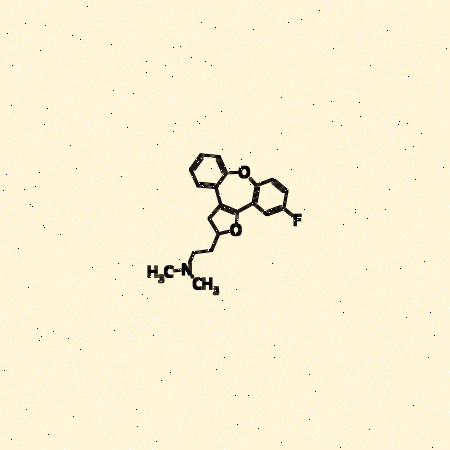 CN(C)CCC1CC2=C(O1)c1cc(F)ccc1Oc1ccccc12